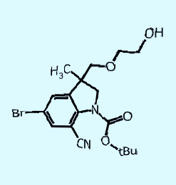 CC(C)(C)OC(=O)N1CC(C)(COCCO)c2cc(Br)cc(C#N)c21